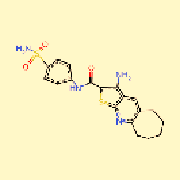 Nc1c(C(=O)Nc2ccc(S(N)(=O)=O)cc2)sc2nc3c(cc12)CCCCC3